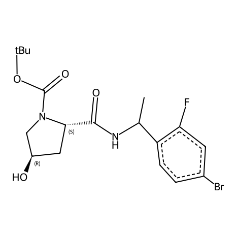 CC(NC(=O)[C@@H]1C[C@@H](O)CN1C(=O)OC(C)(C)C)c1ccc(Br)cc1F